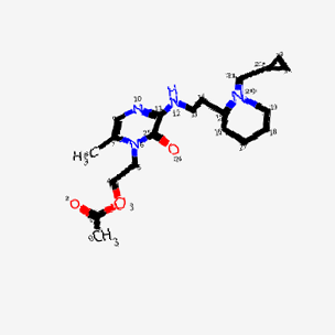 CC(=O)OCCn1c(C)cnc(NCCC2CCCCN2CC2CC2)c1=O